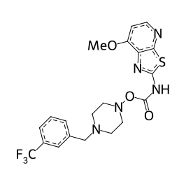 COc1ccnc2sc(NC(=O)ON3CCN(Cc4cccc(C(F)(F)F)c4)CC3)nc12